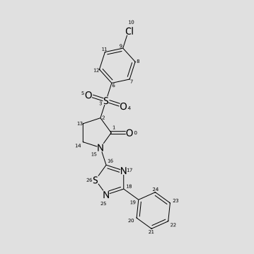 O=C1C(S(=O)(=O)c2ccc(Cl)cc2)CCN1c1nc(-c2ccccc2)ns1